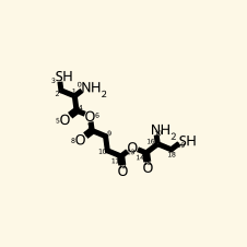 NC(CS)C(=O)OC(=O)CCC(=O)OC(=O)C(N)CS